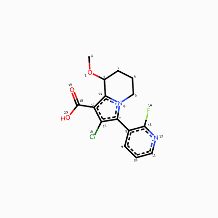 COC1CCCn2c(-c3cccnc3F)c(Cl)c(C(=O)O)c21